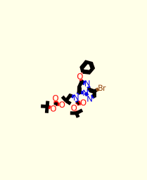 CC(C)(C)OC(=O)OC(C)(C)CN(C(=O)OC(C)(C)C)c1cc(Oc2ccccc2)nc2c(Br)cnn12